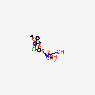 CN(CCCSc1ccc(Cl)c(COC2(c3cnccc3-c3ccccc3OC3CC3)CC2)c1)C(=O)C(O)CCCCO